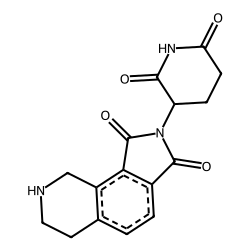 O=C1CCC(N2C(=O)c3ccc4c(c3C2=O)CNCC4)C(=O)N1